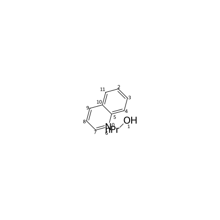 CCCO.c1ccc2ncccc2c1